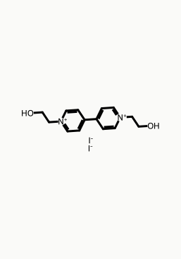 OCC[n+]1ccc(-c2cc[n+](CCO)cc2)cc1.[I-].[I-]